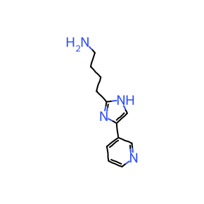 NCCCCc1nc(-c2cccnc2)c[nH]1